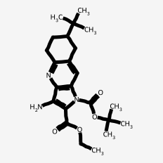 CCOC(=O)c1c(N)c2nc3c(cc2n1C(=O)OC(C)(C)C)CC(C(C)(C)C)CC3